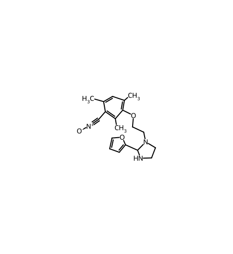 Cc1cc(C)c(OCCN2CCNC2c2ccco2)c(C)c1C#[N+][O-]